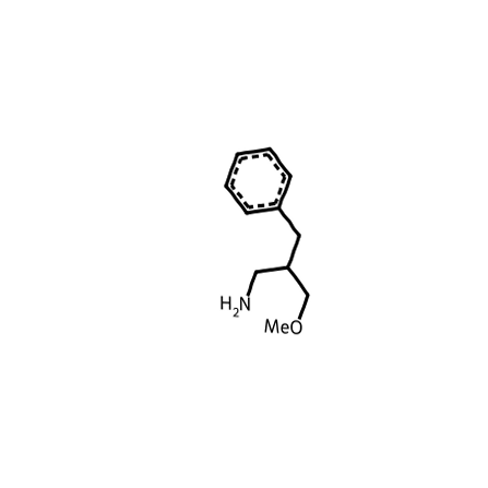 COCC(CN)Cc1ccccc1